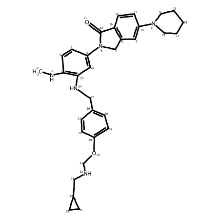 CNc1ccc(N2Cc3cc(N4CCCCC4)ccc3C2=O)cc1NCc1ccc(OCNCC2CC2)cc1